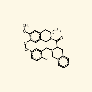 COc1cc2c(cc1OC)CN(C(=O)C1Cc3ccccc3CN1Cc1ccccc1F)[C@@H](C)C2